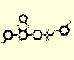 O=c1c(OC2CCCC2)c(N2CCN(S(=O)(=O)CSc3cccc(O)c3)CC2)cnn1-c1cccc(Cl)c1